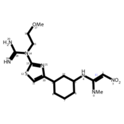 CN/C(=C\[N+](=O)[O-])NC1CCCC(c2csc(N(CCOC)C(=N)N)n2)C1